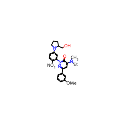 CCN(C)c1cc(-c2cccc(OC)c2)nn(-c2cc(N3CCCC3CO)ccc2[N+](=O)[O-])c1=O